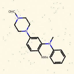 CNc1ccc(N2CCN(C=O)CC2)cc1N(C)c1ccccc1